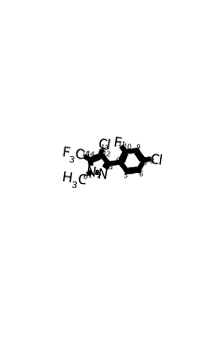 Cn1nc(-c2ccc(Cl)cc2F)c(Cl)c1C(F)(F)F